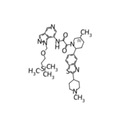 C[C@H]1CCC(c2ccc3sc(C4CCN(C)CC4)nc3c2)N(C(=O)C(=O)Nc2cncc3cnn(COCC[Si](C)(C)C)c23)C1